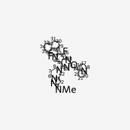 CNc1cc2n(n1)CCCN(c1nc(OCC34CCCN3CCC4)nc3c(F)c(-c4cccc5cccc(F)c45)ncc13)C2